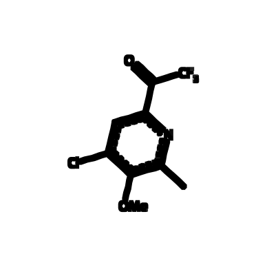 COc1c(Cl)cc(C(=O)C(F)(F)F)nc1C